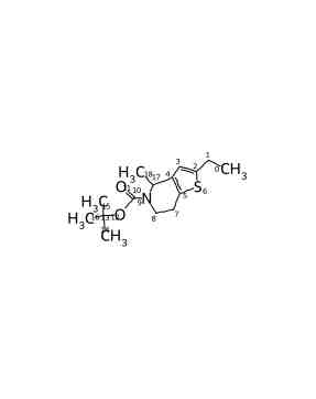 CCc1cc2c(s1)CCN(C(=O)OC(C)(C)C)C2C